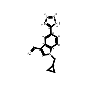 O=Cc1cn(CC2CC2)c2ccc(-c3nnn[nH]3)cc12